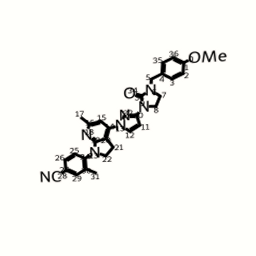 COc1ccc(CN2CCN(c3ccn(-c4cc(C)nc5c4CCN5c4ccc(C#N)cc4C)n3)C2=O)cc1